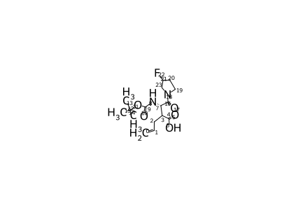 C=CCC(C(=O)O)[C@H](NC(=O)OC(C)(C)C)C(=O)N1CC[C@H](F)C1